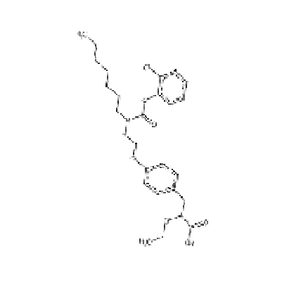 CCCCCCCN(CCOc1ccc(CC(OCC)C(=O)O)cc1)C(=O)Oc1ccccc1Cl